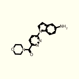 Nc1ccc2c(ccn2-c2ccc(C(=O)N3CCOCC3)nn2)c1